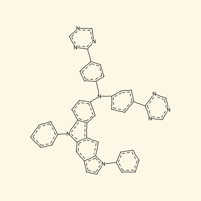 c1ccc(-n2ccc3cc4c(cc32)c2cc(N(c3ccc(-c5ncncn5)cc3)c3ccc(-c5ncncn5)cc3)ccc2n4-c2ccccc2)cc1